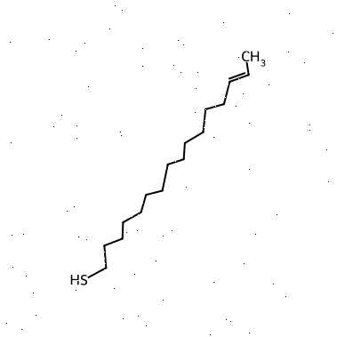 CC=CCCCCCCCCCCCCCS